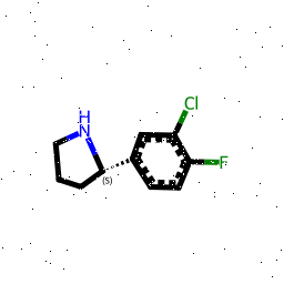 Fc1ccc([C@@H]2CCCN2)cc1Cl